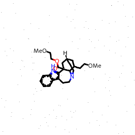 COCCOC(=O)C12C[C@@H]3CC(CCOC)C1N(CCc1c2[nH]c2ccccc12)C3